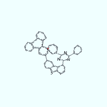 c1ccc(-c2nc(-c3ccccc3)nc(-c3cccc4sc5ccc(-c6ccc7c8ccccc8c8ccccc8c7c6)cc5c34)n2)cc1